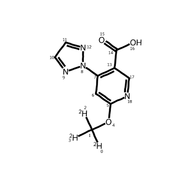 [2H]C([2H])([2H])Oc1cc(-n2nccn2)c(C(=O)O)cn1